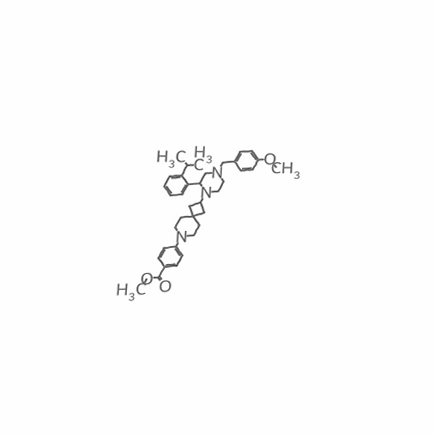 COC(=O)c1ccc(N2CCC3(CC2)CC(N2CCN(Cc4ccc(OC)cc4)CC2c2ccccc2C(C)C)C3)cc1